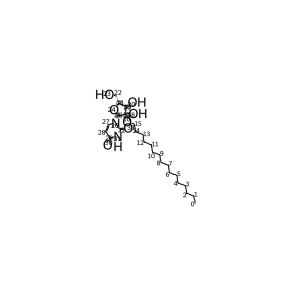 CCCCCCCCCCCCCCCCO[C@@]1(O)[C@H](O)[C@@H](CO)O[C@H]1n1ccc(=O)[nH]c1=O